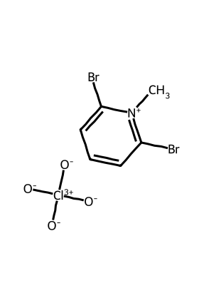 C[n+]1c(Br)cccc1Br.[O-][Cl+3]([O-])([O-])[O-]